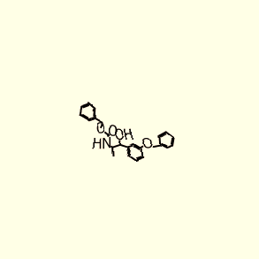 CC(NC(=O)OCc1ccccc1)C(O)c1cccc(OCc2ccccc2)c1